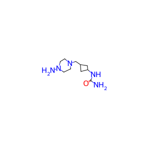 NC(=O)NC1CC(CN2CCN(N)CC2)C1